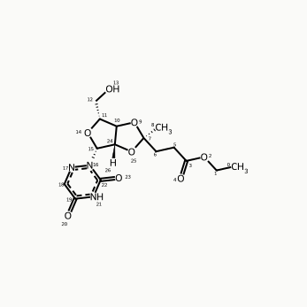 CCOC(=O)CC[C@]1(C)OC2[C@@H](CO)O[C@@H](n3ncc(=O)[nH]c3=O)[C@H]2O1